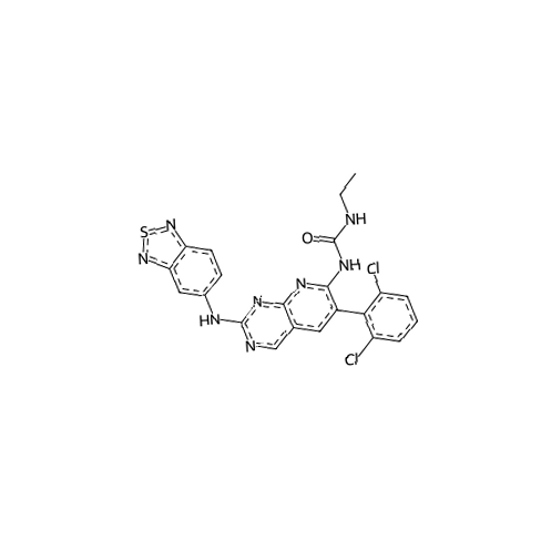 CCNC(=O)Nc1nc2nc(Nc3ccc4nsnc4c3)ncc2cc1-c1c(Cl)cccc1Cl